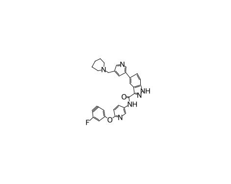 O=C(Nc1ccc(Oc2cc#cc(F)c2)nc1)c1n[nH]c2ccc(-c3cncc(CN4CCCCC4)c3)cc12